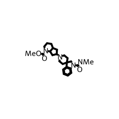 CNC(=O)N1CC2(CCN(C3CC4CCCN(C(=O)OC)C4C3)CC2)c2ccccc21